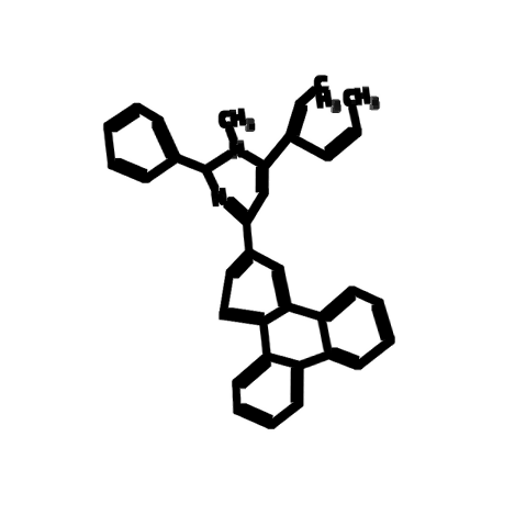 C/C=C\C(=C/C)C1=CC(c2ccc3c4ccccc4c4ccccc4c3c2)=NC(c2ccccc2)N1C